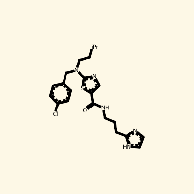 CC(C)CCN(Cc1ccc(Cl)cc1)c1ncc(C(=O)NCCCc2ncc[nH]2)s1